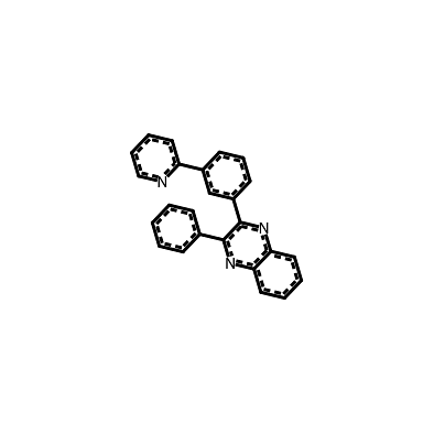 c1ccc(-c2nc3ccccc3nc2-c2cccc(-c3ccccn3)c2)cc1